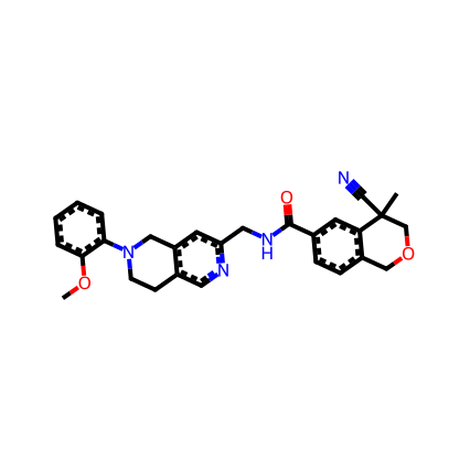 COc1ccccc1N1CCc2cnc(CNC(=O)c3ccc4c(c3)C(C)(C#N)COC4)cc2C1